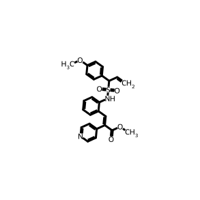 C=CC(c1ccc(OC)cc1)S(=O)(=O)Nc1ccccc1C=C(C(=O)OC)c1ccncc1